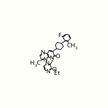 CCOc1nccnc1Cn1c(=O)c(C2CCC(c3c(C)cccc3F)CC2)cc2ncc(C)nc21